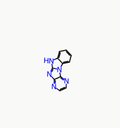 c1ccc2c(c1)[nH]c1nc3nccnc3n12